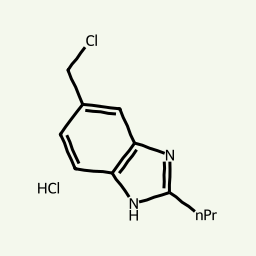 CCCc1nc2cc(CCl)ccc2[nH]1.Cl